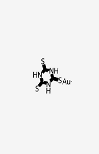 S=c1[nH]c(=S)[nH]c(=S)[nH]1.[Au]